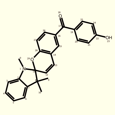 CN1c2ccccc2C(C)(C)C12C=Cc1cc(C(=O)c3ccc(O)cc3)ccc1O2